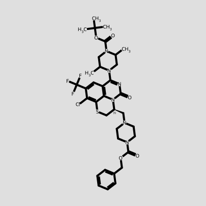 CC1CN(c2nc(=O)n3c4c(c(Cl)c(C(F)(F)F)cc24)SC[C@@H]3CN2CCN(C(=O)OCc3ccccc3)CC2)C(C)CN1C(=O)OC(C)(C)C